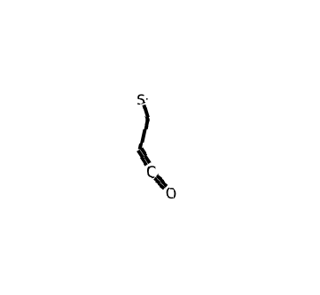 O=C=CC[S]